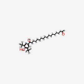 CC(=O)CCCCCCCCCCCCCCCCC(=O)c1cc(C(C)(C)C)c(O)c(C(C)(C)C)c1